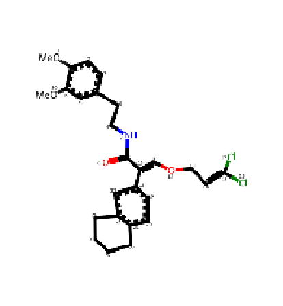 COc1ccc(CCNC(=O)/C(=C/OCC=C(Cl)Cl)c2ccc3c(c2)CCCC3)cc1OC